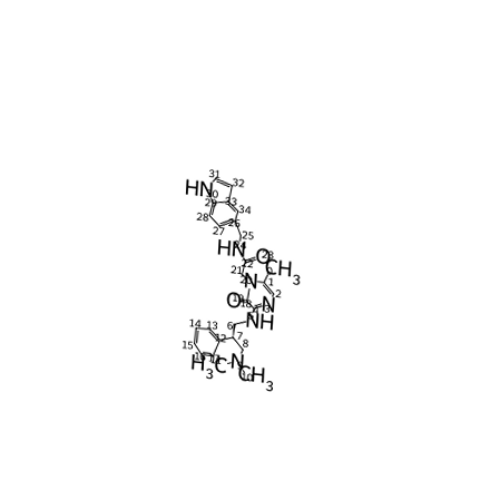 Cc1cnc(NC[C@@H](CN(C)C)c2ccccc2)c(=O)n1CC(=O)NCc1ccc2[nH]ccc2c1